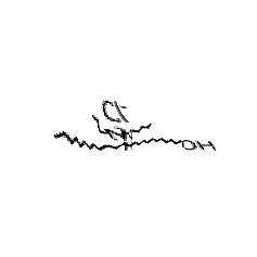 CCCCCCCCCCCCCCCCCCCCCCCCO.CCCCCN[N+](C)(C)CCC.[Cl-]